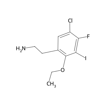 CCOc1c(CCN)cc(Cl)c(F)c1I